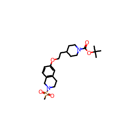 CC(C)(C)OC(=O)N1CCC(CCOc2ccc3c(c2)CCN(S(C)(=O)=O)C3)CC1